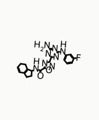 Nc1nc(Nc2cccc(F)c2)nc(-c2noc(C(=O)NC3CCC4=C3CCC=C4)n2)n1